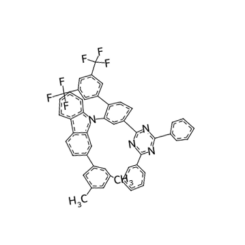 Cc1cc(C)cc(-c2ccc3c4ccccc4n(-c4cc(-c5nc(-c6ccccc6)nc(-c6ccccc6)n5)ccc4-c4cc(C(F)(F)F)cc(C(F)(F)F)c4)c3c2)c1